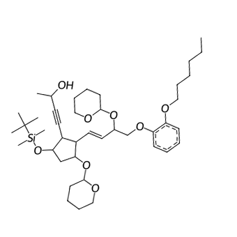 CCCCCCOc1ccccc1OCC(C=CC1C(OC2CCCCO2)CC(O[Si](C)(C)C(C)(C)C)C1C#CC(C)O)OC1CCCCO1